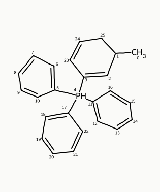 CC1C=C([PH](c2ccccc2)(c2ccccc2)c2ccccc2)C=CC1